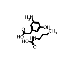 CCCCNC(=O)O.Nc1cc(O)cc(CC(=O)O)c1